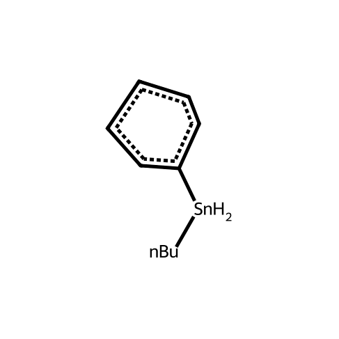 CCC[CH2][SnH2][c]1ccccc1